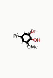 COc1cc(C(C)C)cc(Br)c1O